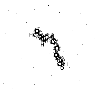 O=C1CCC(N2Cc3ccc(N4CCC(CN5CCCN(C(=O)N6CCN7c8cc(-c9ccccc9O)nnc8NC[C@H]7C6)CC5)CC4)cc3C2=O)C(=O)N1